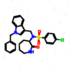 O=C1NCCCC[C@H]1N(Cc1cn(Cc2ccccc2)c2ccccc12)S(=O)(=O)c1ccc(Cl)cc1